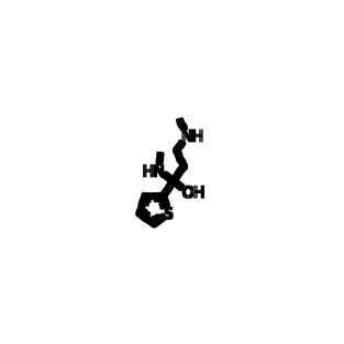 CNCCC(O)(NC)c1cccs1